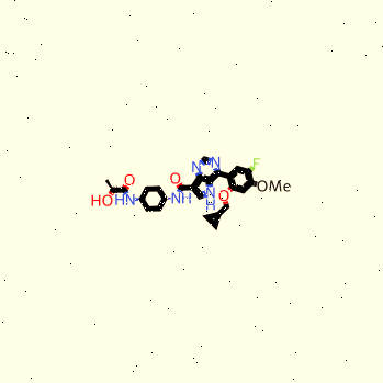 COc1cc(OCC2CC2)c(-c2ncnc3c(C(=O)N[C@H]4CC[C@H](NC(=O)[C@H](C)O)CC4)c[nH]c23)cc1F